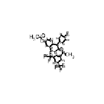 CC(=O)Oc1cnc2c(c1)CCC(O[C@H](C)c1cc(C(F)(F)F)cc(C(F)(F)F)c1)C2c1ccc(F)cc1